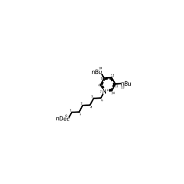 CCCCCCCCCCCCCCCC[n+]1cc(CCCC)cc(CCCC)c1